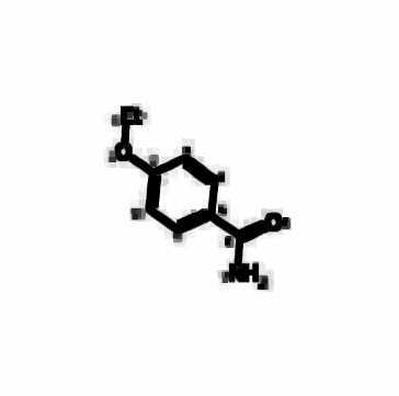 C[CH]Oc1ccc(C(N)=O)cc1